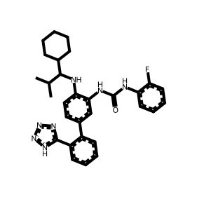 CC(C)C(Nc1ccc(-c2ccccc2-c2nnn[nH]2)cc1NC(=O)Nc1ccccc1F)C1CCCCC1